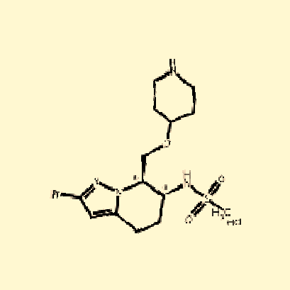 CC(C)c1cc2n(n1)[C@@H](COC1CCNCC1)[C@@H](NS(C)(=O)=O)CC2.Cl